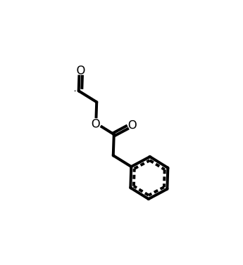 O=[C]COC(=O)Cc1ccccc1